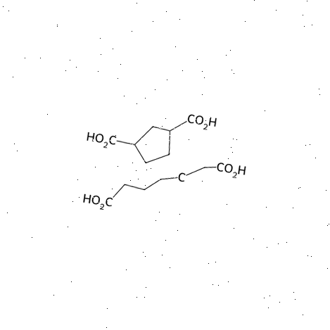 O=C(O)C1CCC(C(=O)O)C1.O=C(O)CCCCCC(=O)O